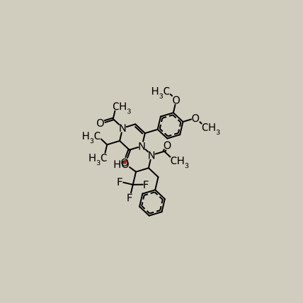 COc1ccc(C2=CN(C(C)=O)C(C(C)C)C(=O)N2N(C(C)=O)C(Cc2ccccc2)C(O)C(F)(F)F)cc1OC